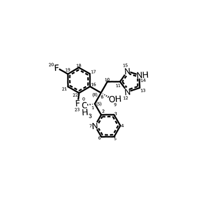 C[C@@H](c1ccccn1)[C@](O)(Cc1nc[nH]n1)c1ccc(F)cc1F